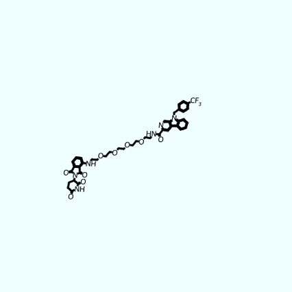 O=C1CCC(N2C(=O)c3cccc(NCCOCCOCCOCCOCCNC(=O)c4cc5c6ccccc6n(Cc6ccc(C(F)(F)F)cc6)c5cn4)c3C2=O)C(=O)N1